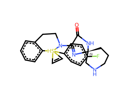 O=C1N[C@@]2(CCCNC2)N=C1N1CCc2ccccc2[SH]12(c1ccc(F)cc1)C=C2